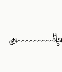 O=C=NCCCCCCCCCCCCCCCCCCCNC(=S)S